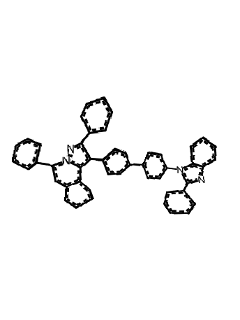 c1ccc(-c2nn3c(-c4ccccc4)cc4ccccc4c3c2-c2ccc(-c3ccc(-n4c(-c5ccccc5)nc5ccccc54)cc3)cc2)cc1